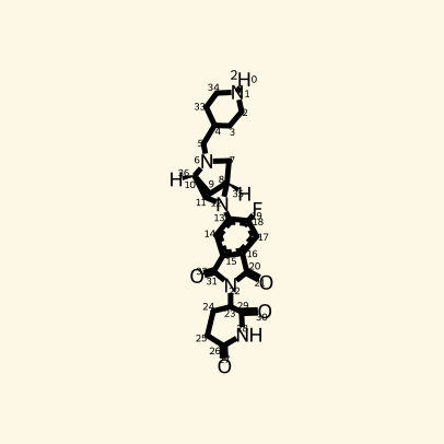 [2H]N1CCC(CN2C[C@H]3C[C@@H]2CN3c2cc3c(cc2F)C(=O)N(C2CCC(=O)NC2=O)C3=O)CC1